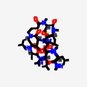 CCCC(=O)N(C)[C@H](CSCCCCN(CC(C)C)CC(C)C)C(=O)N(C)[C@@H](CC(C)(C)O)C(=O)N[C@H](C(=O)N(C)[C@@H](CC(C)C)C(=O)N[C@H](C)C(=O)N[C@@H](C)C(=O)N(C)[C@@H](CC(C)C)C(=O)NC)C(C)C